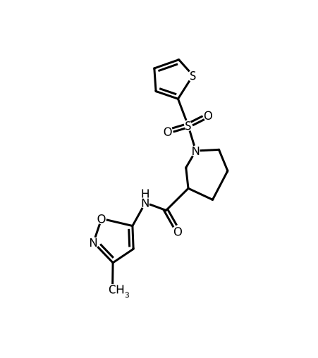 Cc1cc(NC(=O)C2CCCN(S(=O)(=O)c3cccs3)C2)on1